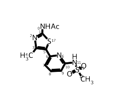 CC(=O)Nc1nc(C)c(-c2cccc(NS(C)(=O)=O)n2)s1